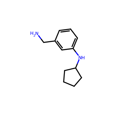 NCc1cccc(NC2CCCC2)c1